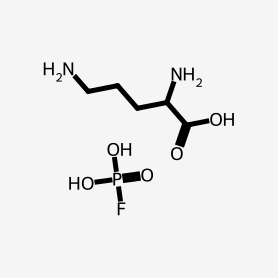 NCCCC(N)C(=O)O.O=P(O)(O)F